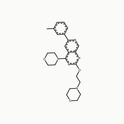 Cc1cccc(-c2cc3c(N4CCOCC4)nc(OCCN4CCOCC4)nc3cn2)c1